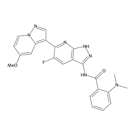 COc1ccn2ncc(-c3nc4[nH]nc(NC(=O)c5ccccc5N(C)C)c4cc3F)c2c1